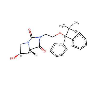 CC(C)(C)[Si](OCCN1C(=O)[C@@H]2C[C@@H](O)CN2C1=O)(c1ccccc1)c1ccccc1